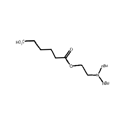 CCCCN(CCCC)CCOC(=O)CCCCC(=O)O